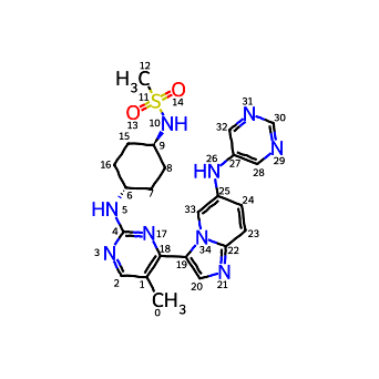 Cc1cnc(N[C@H]2CC[C@H](NS(C)(=O)=O)CC2)nc1-c1cnc2ccc(Nc3cncnc3)cn12